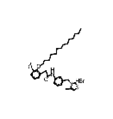 Br.CCCCCCCCCCCCCCOc1c(CC(=O)Nc2cccc(CN3CSC=C3C)c2)cccc1OC